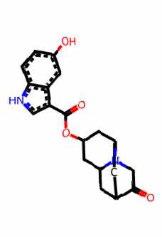 O=C(OC1CC2CC3CC(C1)N2CC3=O)c1c[nH]c2ccc(O)cc12